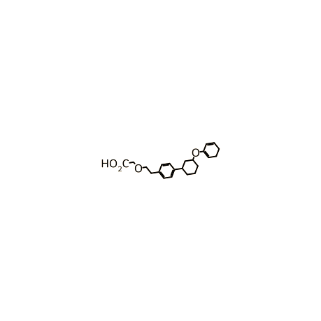 O=C(O)COCCc1ccc(C2CCCC(OC3=CCCC=C3)C2)cc1